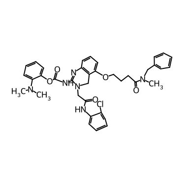 CN(Cc1ccccc1)C(=O)CCCOc1cccc2c1CN(CC(=O)Nc1ccccc1Cl)C(NC(=O)Oc1ccccc1N(C)C)=N2